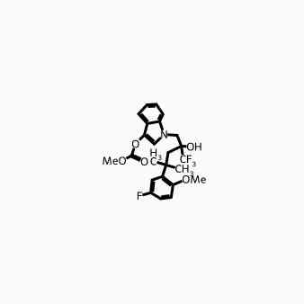 COC(=O)Oc1cn(CC(O)(CC(C)(C)c2cc(F)ccc2OC)C(F)(F)F)c2ccccc12